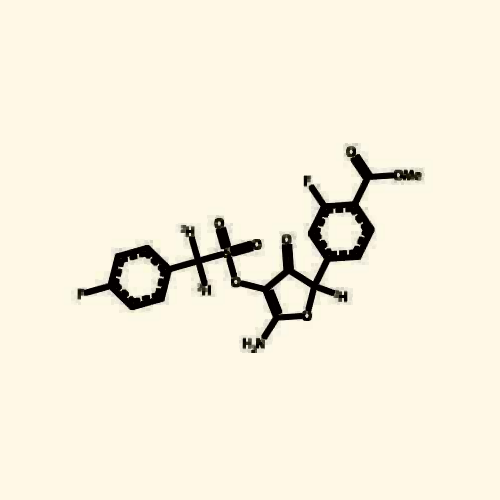 [2H]C1(c2ccc(C(=O)OC)c(F)c2)OC(N)=C(OS(=O)(=O)C([2H])([2H])c2ccc(F)cc2)C1=O